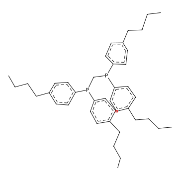 CCCCc1ccc(P(CP(c2ccc(CCCC)cc2)c2ccc(CCCC)cc2)c2ccc(CCCC)cc2)cc1